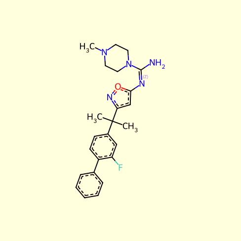 CN1CCN(/C(N)=N\c2cc(C(C)(C)c3ccc(-c4ccccc4)c(F)c3)no2)CC1